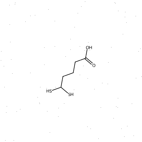 O=C(O)CCCC(S)S